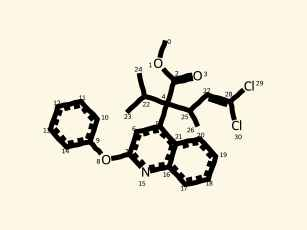 COC(=O)C(c1cc(Oc2ccccc2)nc2ccccc12)(C(C)C)C(C)C=C(Cl)Cl